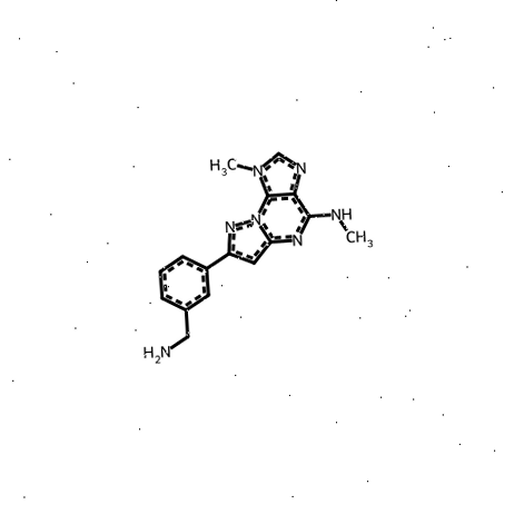 CNc1nc2cc(-c3cccc(CN)c3)nn2c2c1ncn2C